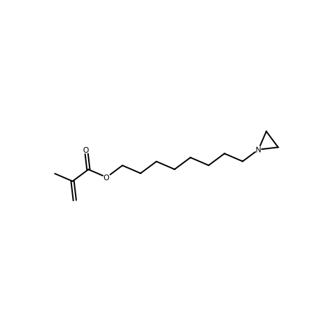 C=C(C)C(=O)OCCCCCCCCN1CC1